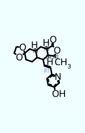 C[C@H]1OC(=O)[C@@H]2C[C@@H]3CC4(CCC3C(/C=C/c3ccc(O)cn3)[C@H]12)OCCO4